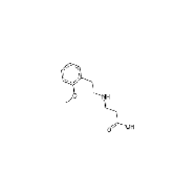 COc1ccccc1CCNCCC(=O)O